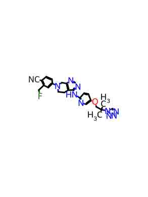 CC(C)(COc1ccc(Nc2ncnc3c2CCN(c2ccc(C#N)c(CF)c2)C3)nc1)n1cnnn1